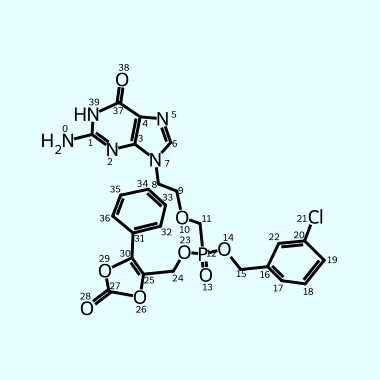 Nc1nc2c(ncn2CCOCP(=O)(OCc2cccc(Cl)c2)OCc2oc(=O)oc2-c2ccccc2)c(=O)[nH]1